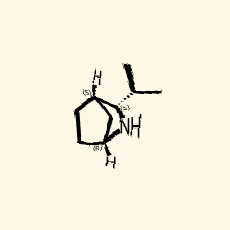 CC(C)[C@@H]1N[C@@H]2CC[C@H]1C2